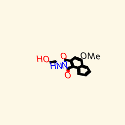 COc1cc2c(c3ccccc13)C(=O)N(NCCO)C2=O